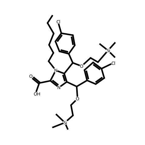 CCCCCCn1c(C(=O)O)nc(C(OCC[Si](C)(C)C)c2ccc(Cl)cc2)c1C(OCC[Si](C)(C)C)c1ccc(Cl)cc1